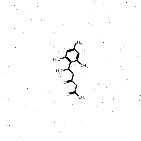 CC(=O)CC(=O)CC(C)c1c(C)cc(C)cc1C